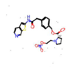 O=C(Cc1ccc(COC(=O)[C@@H]2CCCN2CCO[N+](=O)[O-])cc1)Nc1cc2ccncc2s1